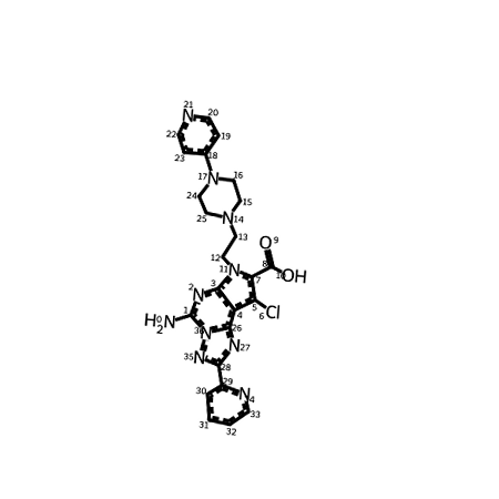 Nc1nc2c(c(Cl)c(C(=O)O)n2CCN2CCN(c3ccncc3)CC2)c2nc(-c3ccccn3)nn12